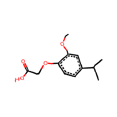 COc1cc(C(C)C)ccc1OCC(=O)O